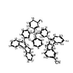 CC1C=C([Si](c2ccccc2)(c2cccc(-n3c4ccccc4n4c5ccccc5cc34)c2)c2cccc(-n3c4ccccc4n4c5cc(C#N)ccc5nc34)c2)C=CC1